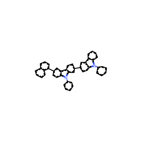 c1ccc(-n2c3ccccc3c3cc(-c4ccc5c6cc(-c7cccc8ccccc78)ccc6n(-c6ccccc6)c5c4)ccc32)cc1